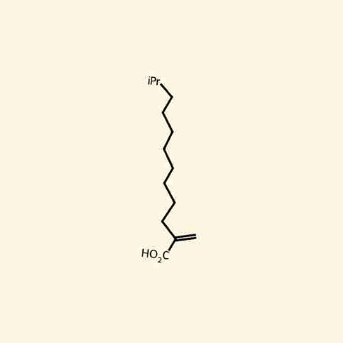 C=C(CCCCCCCCC(C)C)C(=O)O